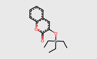 CC[Si](CC)(CC)Oc1cc2ccccc2oc1=O